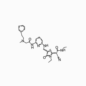 CCNC(=O)C(C#N)=c1sc(=CNc2cccc(NC(=O)CN(C)CCc3ccccc3)n2)c(=O)n1CC